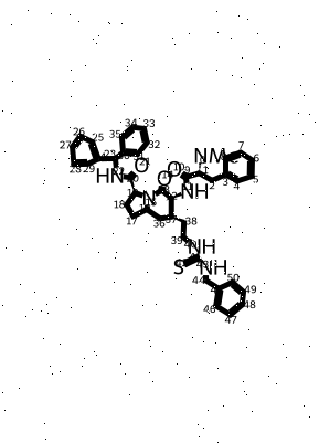 CN[C@H](Cc1ccccc1)C(=O)N[C@@H]1C(=O)N2C(CC[C@H]2C(=O)NC(c2ccccc2)c2ccccc2)C[C@@H]1CCNC(=S)NCc1ccccc1